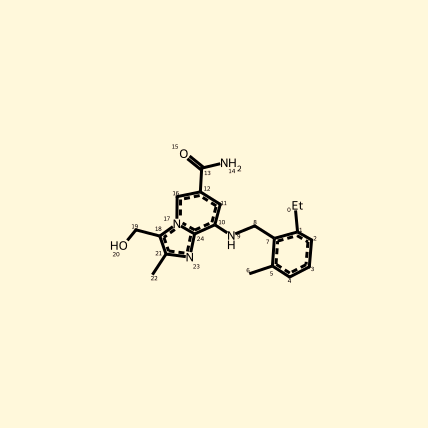 CCc1cccc(C)c1CNc1cc(C(N)=O)cn2c(CO)c(C)nc12